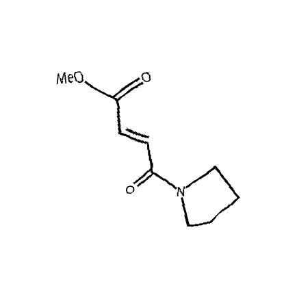 COC(=O)/C=C/C(=O)N1CCCC1